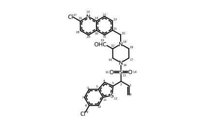 C=CC(c1cc2ccc(Cl)cc2s1)S(=O)(=O)N1CCN(Cc2ccc3nc(Cl)ccc3c2)C(C=O)C1